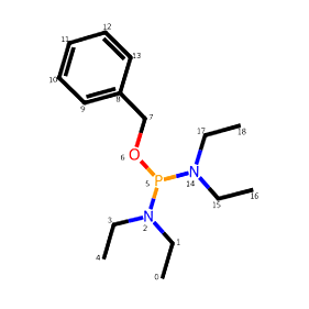 CCN(CC)P(OCc1ccccc1)N(CC)CC